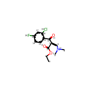 CCOC(=O)C(=CN(C)C)C(=O)c1ccc(F)cc1Cl